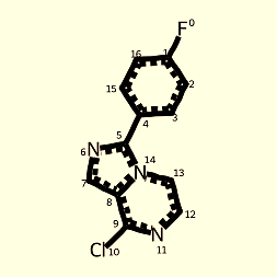 Fc1ccc(-c2ncc3c(Cl)nccn23)cc1